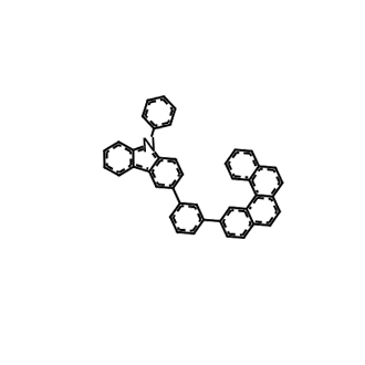 c1ccc(-n2c3ccccc3c3cc(-c4cccc(-c5ccc6ccc7ccc8ccccc8c7c6c5)c4)ccc32)cc1